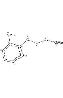 COCCOc1ccccc1SC